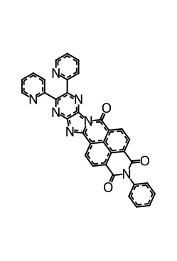 O=C1c2ccc3c(=O)n4c5nc(-c6ccccn6)c(-c6ccccn6)nc5nc4c4ccc(c2c34)C(=O)N1c1ccccc1